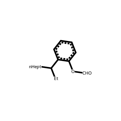 CCCCCCCC(CC)c1ccccc1OC=O